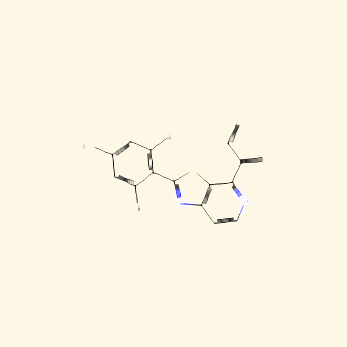 C=CC(=C)c1nccc2nc(-c3c(C(C)C)cc(C(C)C)cc3C(C)C)sc12